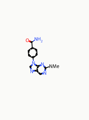 CNc1ncc2ncn(-c3ccc(C(N)=O)cc3)c2n1